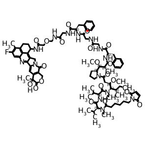 CC[C@H](C)[C@@H]([C@@H](CC(=O)N1CCC[C@H]1[C@H](OC)[C@@H](C)C(=O)N[C@@H](Cc1ccccc1)C(=O)NCC(=O)NCC(=O)N[C@H](Cc1ccccc1)C(=O)NCC(=O)NCOCC(=O)NC1CCc2c(C)c(F)cc3nc4c(c1c23)Cn1c-4cc2c(c1=O)COC(=O)[C@]2(C)O)OC)N(C)C(=O)[C@@H](NC(=O)[C@H](C(C)C)N(C)C(=O)CCCCCN1C(=O)C=CC1=O)C(C)C